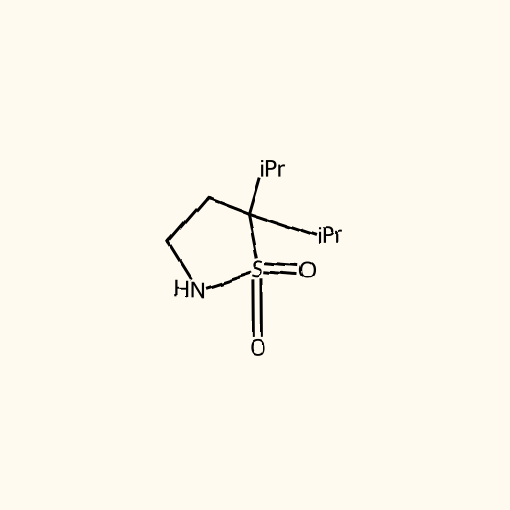 CC(C)C1(C(C)C)CCNS1(=O)=O